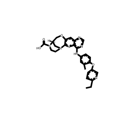 CCc1ccc(Oc2ccc(Nc3ncnc4cc5c(nc34)N3CCN(C(=O)O)[C@H](CO5)C3)cc2C)cn1